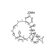 COc1ccc2c(c1)CC/C=C/COc1ccc(cc1Cl)C[C@@H](C(=O)NC1(C#N)CC1)NC2=O